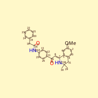 COc1ccc2c(c1)/C(=C/C(=O)c1ccc(NC(=O)Cc3ccccc3)cc1)NC(C)(C)C2